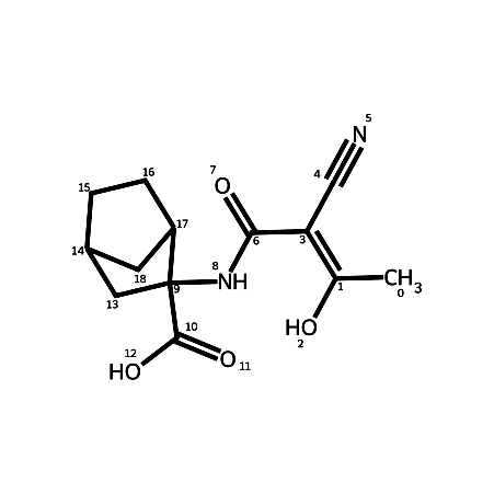 CC(O)=C(C#N)C(=O)NC1(C(=O)O)CC2CCC1C2